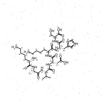 CC(C)[C@H](NC(=O)[C@H](C)NC(=O)[C@@H](N)CCCCN)C(=O)N[C@@H](CC(=O)O)C(=O)N[C@@H](CCCCN)C(=O)N[C@@H](Cc1c[nH]cn1)C(=O)N[C@@H](CO)C(=O)O